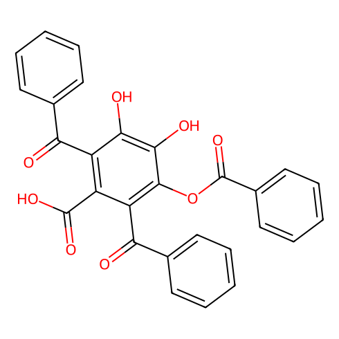 O=C(Oc1c(O)c(O)c(C(=O)c2ccccc2)c(C(=O)O)c1C(=O)c1ccccc1)c1ccccc1